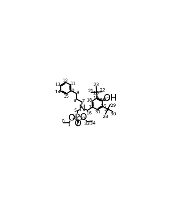 CCOP(=O)(CN(CCCc1ccccc1)Cc1cc(C(C)(C)C)c(O)c(C(C)(C)C)c1)OCC